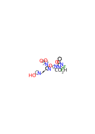 C[C@@H]1N(c2cc(C#CCN3CCC[C@@H](O)C3)cnc2O[C@H]2C[C@@H](C(=O)O)N(c3nc(C(F)F)nc4c3oc3ccccc34)C2)CCOC12COC2